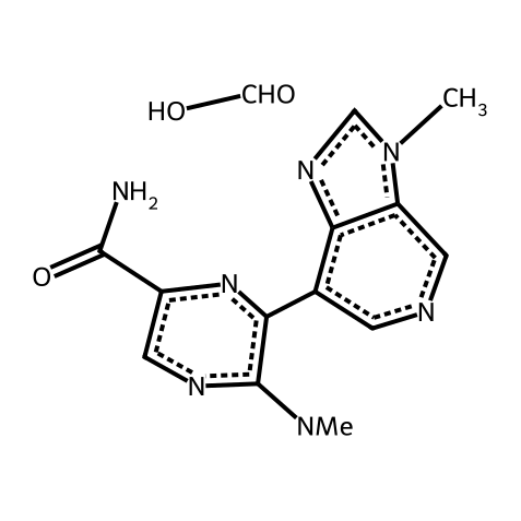 CNc1ncc(C(N)=O)nc1-c1cncc2c1ncn2C.O=CO